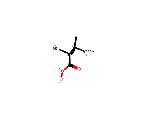 CCOC(=O)/C(C#N)=C(/C)OC